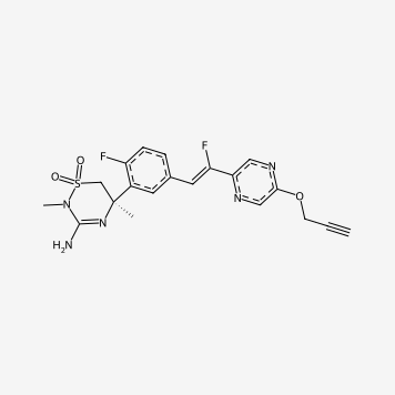 C#CCOc1cnc(/C(F)=C/c2ccc(F)c([C@]3(C)CS(=O)(=O)N(C)C(N)=N3)c2)cn1